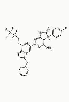 CC1(c2ccc(F)cc2)C(=O)Nc2nc(-c3cn4c(Cc5ccccc5)cnc4c(CCC(F)(F)C(F)(F)F)n3)nc(N)c21